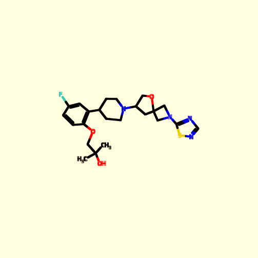 CC(C)(O)COc1ccc(F)cc1C1CCN(C2COC3(C2)CN(c2ncns2)C3)CC1